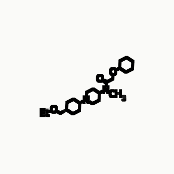 CCOC[C@H]1CC[C@@H](N2CCC(N(C)C(=O)COC3CCCCC3)CC2)CC1